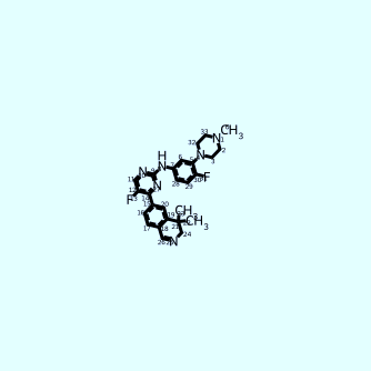 CN1CCN(c2cc(Nc3ncc(F)c(-c4ccc5c(c4)C(C)(C)CN=C5)n3)ccc2F)CC1